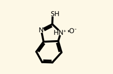 [O-][NH+]1C(S)=Nc2ccccc21